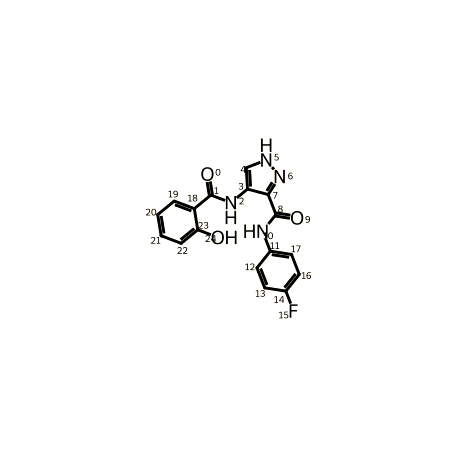 O=C(Nc1c[nH]nc1C(=O)Nc1ccc(F)cc1)c1ccccc1O